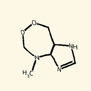 CN1COOCC2NC=NC21